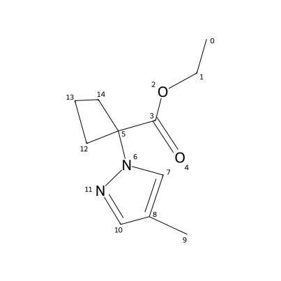 CCOC(=O)C1(n2cc(C)cn2)CCC1